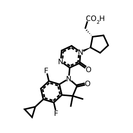 CC1(C)C(=O)N(c2nccn([C@@H]3CCC[C@H]3CC(=O)O)c2=O)c2c(F)cc(C3CC3)c(F)c21